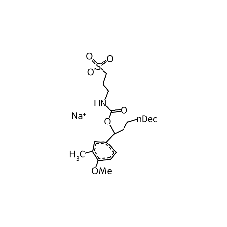 CCCCCCCCCCCCC(OC(=O)NCCCS(=O)(=O)[O-])c1ccc(OC)c(C)c1.[Na+]